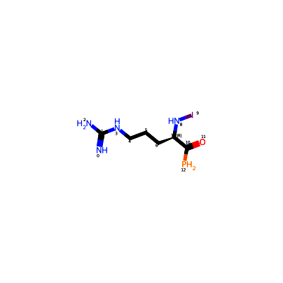 N=C(N)NCCC[C@@H](NI)C(=O)P